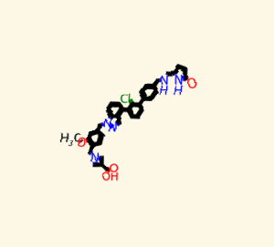 COc1cc(Cn2ncc3c(-c4cccc(-c5ccc(CNCC6CCC(=O)N6)cc5)c4Cl)cccc32)ccc1CN1CC(C(=O)O)C1